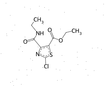 CCNC(=O)c1nc(Cl)sc1C(=O)OCC